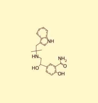 CC(C)(Cc1c[nH]c2ccccc12)NCC(O)c1ccc(O)c(C(N)=O)c1